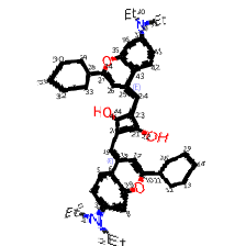 CCN(CC)c1ccc2c(c1)OC(C1CCCCC1)=C/C2=C\C1=C(O)C(/C=C2\C=C(C3CCCCC3)Oc3cc(N(CC)CC)ccc32)C1O